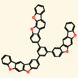 c1ccc2c(c1)oc1cc3oc4ccc(-c5cc(-c6ccc7oc8cc9oc%10ccccc%10c9cc8c7c6)cc(-c6ccc7oc8c(ccc9c%10ccccc%10oc98)c7c6)c5)cc4c3cc12